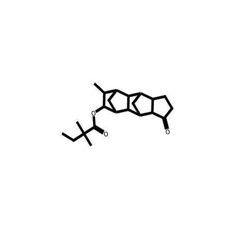 CCC(C)(C)C(=O)OC1C(C)C2CC1C1C3CC(C4CCC(=O)C43)C21